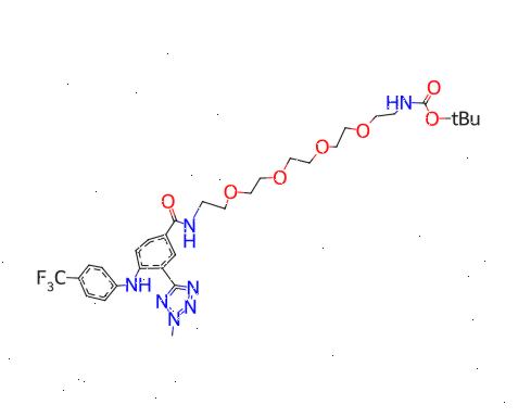 Cn1nnc(-c2cc(C(=O)NCCOCCOCCOCCOCCNC(=O)OC(C)(C)C)ccc2Nc2ccc(C(F)(F)F)cc2)n1